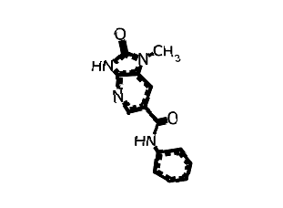 Cn1c(=O)[nH]c2ncc(C(=O)Nc3ccccc3)cc21